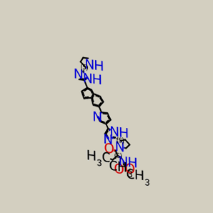 COC(=O)N[C@H](C(=O)N1CCC[C@H]1c1ncc(-c2ccc(-c3ccc4cc(-c5cnc([C@@H]6CCCN6)[nH]5)ccc4c3)nc2)[nH]1)C(C)C